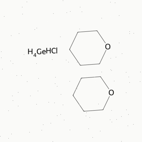 C1CCOCC1.C1CCOCC1.Cl.[GeH4]